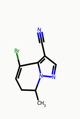 CC1CC=C(Br)c2c(C#N)cnn21